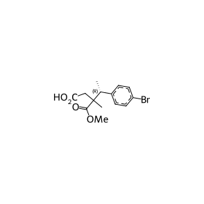 COC(=O)C(C)(CC(=O)O)[C@H](C)c1ccc(Br)cc1